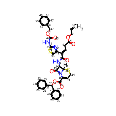 C=CCOC(=O)CC=C(C(=O)N[C@@H]1C(=O)N2C(C(=O)OC(c3ccccc3)c3ccccc3)=CCS[C@@H]12)c1csc(NC(=O)OCc2ccccc2)n1